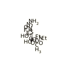 CCN(CC)C(=O)OC(C)OP(=O)(O)OC[C@H]1S[C@@H](n2ccc(N)nc2=O)[C@@H](F)[C@@H]1O